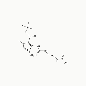 Cn1nc(N)c(NC(=O)NCCNC(=O)O)c1C(=O)OC(C)(C)C